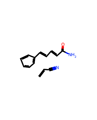 C=CC#N.NC(=O)C=CC=Cc1ccccc1